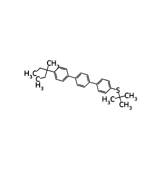 CCC(C)(CC)c1ccc(-c2ccc(-c3ccc(SC(C)(C)C)cc3)cc2)cc1